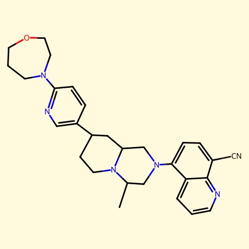 CC1CN(c2ccc(C#N)c3ncccc23)CC2CC(c3ccc(N4CCCOCC4)nc3)CCN12